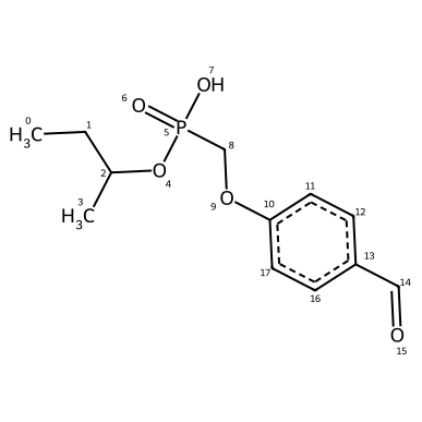 CCC(C)OP(=O)(O)COc1ccc(C=O)cc1